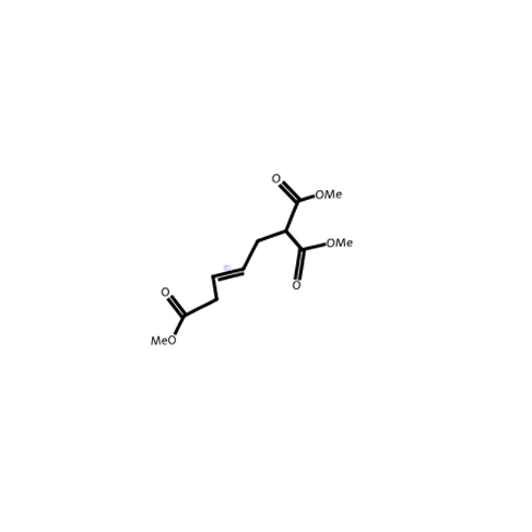 COC(=O)C/C=C/CC(C(=O)OC)C(=O)OC